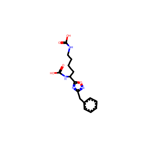 O=C(O)NCCCCC(NC(=O)O)c1nc(Cc2ccccc2)no1